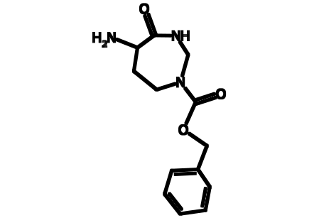 NC1CCN(C(=O)OCc2ccccc2)CNC1=O